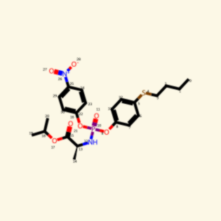 CCCCSc1ccc(OP(=O)(N[C@@H](C)C(=O)OC(C)C)Oc2ccc([N+](=O)[O-])cc2)cc1